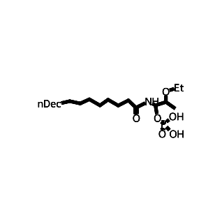 CCCCCCCCCCCCCCCCCC(=O)NC(OP(=O)(O)O)C(C)OCC